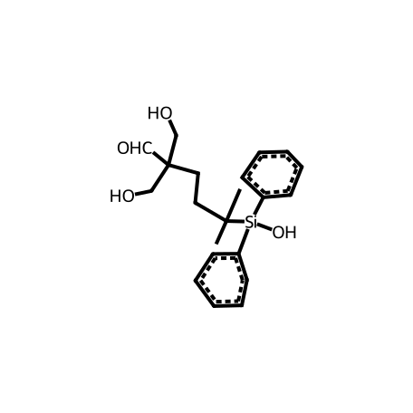 CC(C)(CCC(C=O)(CO)CO)[Si](O)(c1ccccc1)c1ccccc1